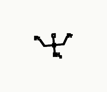 CC(C)C[Si](N)(Cl)CC(C)C